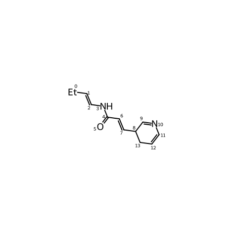 CC/C=C/NC(=O)/C=C/C1C=NC=CC1